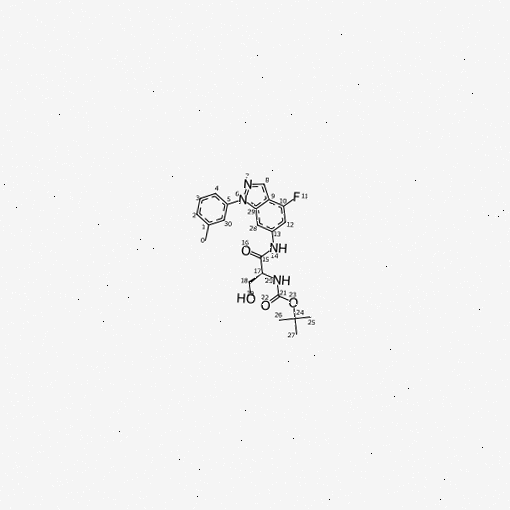 Cc1cccc(-n2ncc3c(F)cc(NC(=O)[C@H](CO)NC(=O)OC(C)(C)C)cc32)c1